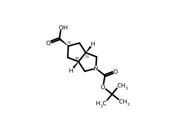 CC(C)(C)OC(=O)N1C[C@H]2C[C@H](C(=O)O)C[C@H]2C1